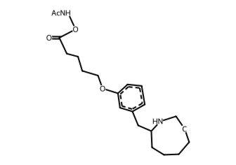 CC(=O)NOC(=O)CCCCOc1cccc(CC2CCCCCCN2)c1